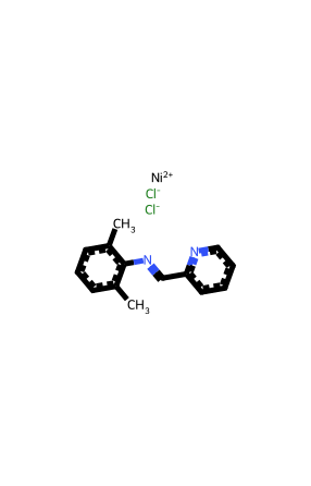 Cc1cccc(C)c1N=Cc1ccccn1.[Cl-].[Cl-].[Ni+2]